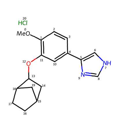 COc1ccc(-c2c[nH]cn2)cc1OC1CC2CCC1C2.Cl